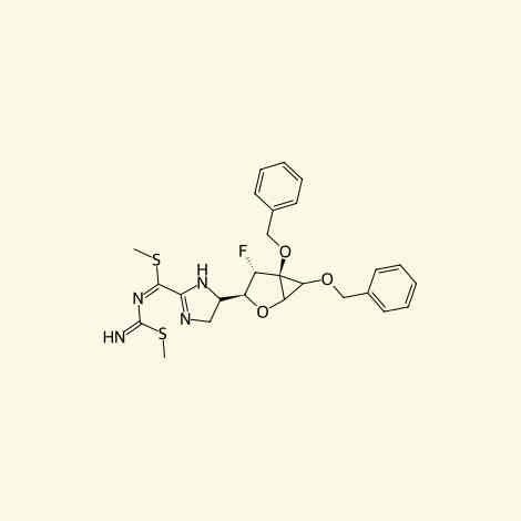 CSC(=N)/N=C(/SC)C1=NCC([C@@H]2OC3C(OCc4ccccc4)[C@@]3(OCc3ccccc3)[C@H]2F)N1